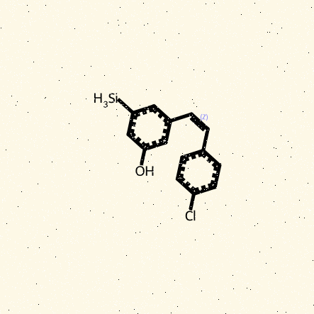 Oc1cc([SiH3])cc(/C=C\c2ccc(Cl)cc2)c1